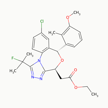 CCOC(=O)C[C@@H]1O[C@@H](c2cccc(OC)c2C)c2cc(Cl)ccc2-n2c1nnc2C(C)(C)F